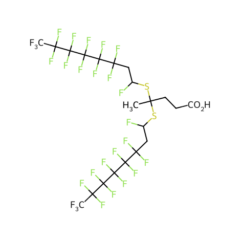 CC(CCC(=O)O)(SC(F)CC(F)(F)C(F)(F)C(F)(F)C(F)(F)C(F)(F)C(F)(F)F)SC(F)CC(F)(F)C(F)(F)C(F)(F)C(F)(F)C(F)(F)C(F)(F)F